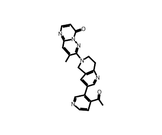 CC(=O)c1ccncc1-c1cnc2c(c1)CN(c1nn3c(=O)ccnc3cc1C)CC2